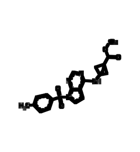 Cc1ccc(S(=O)(=O)n2ccc3c(NC45CC(C(=O)OC(C)(C)C)(C4)C5)ncnc32)cc1